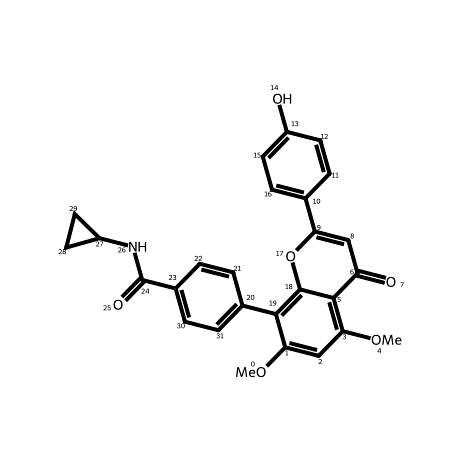 COc1cc(OC)c2c(=O)cc(-c3ccc(O)cc3)oc2c1-c1ccc(C(=O)NC2CC2)cc1